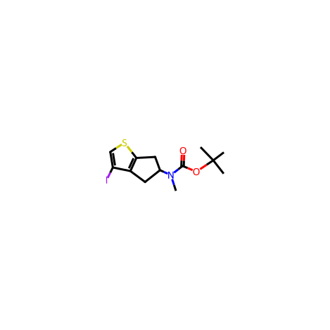 CN(C(=O)OC(C)(C)C)C1Cc2scc(I)c2C1